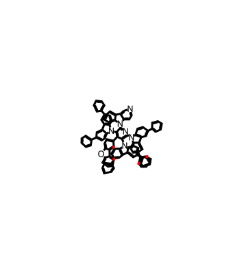 c1ccc(-c2ccc3c(c2)c2cc(-c4ccccc4)ccc2n3-c2nc(-n3c4ccccc4c4cnccc43)c(-n3c4ccc(-c5ccccc5)cc4c4cc(-c5ccccc5)ccc43)c(-c3ccc4oc5ccccc5c4c3)c2-n2c3ccc(-c4ccccc4)cc3c3cc(-c4ccccc4)ccc32)cc1